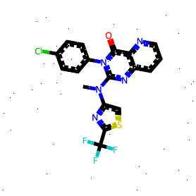 CN(c1csc(C(F)(F)F)n1)c1nc2cccnc2c(=O)n1-c1ccc(Cl)cc1